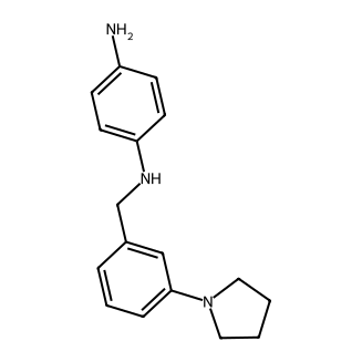 Nc1ccc(NCc2cccc(N3CCCC3)c2)cc1